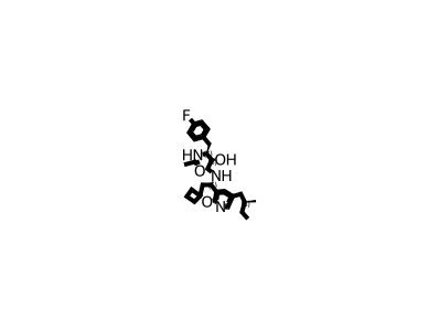 CC[C@H](C)Cc1cnc2c(c1)[C@@H](NC[C@H](O)[C@H](Cc1ccc(F)cc1)NC(C)=O)CC1(CCC1)O2